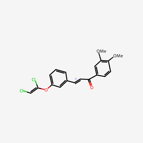 COc1ccc(C(=O)/C=C/c2cccc(OC(Cl)=CCl)c2)cc1OC